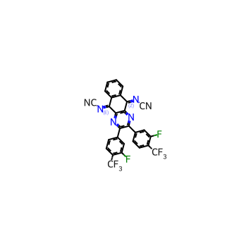 N#C/N=C1/c2ccccc2/C(=N\C#N)c2nc(-c3ccc(C(F)(F)F)c(F)c3)c(-c3ccc(C(F)(F)F)c(F)c3)nc21